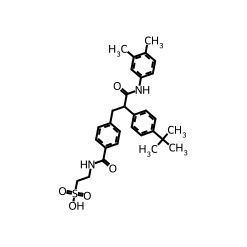 Cc1ccc(NC(=O)C(Cc2ccc(C(=O)NCCS(=O)(=O)O)cc2)c2ccc(C(C)(C)C)cc2)cc1C